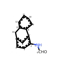 O=CNc1ccc2cc1-c1ccccc1C2